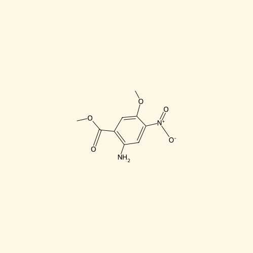 COC(=O)c1cc(OC)c([N+](=O)[O-])cc1N